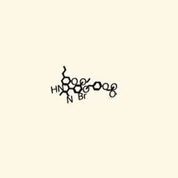 CCCC1CC(=O)C2=C(C1)NC(C)=C(C#N)C2c1cc(Br)c(OCc2ccc(OCC(=O)OC)cc2)c(OCC)c1